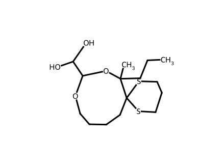 CCCC1(C)OC(C(O)O)OCCCCC12SCCCS2